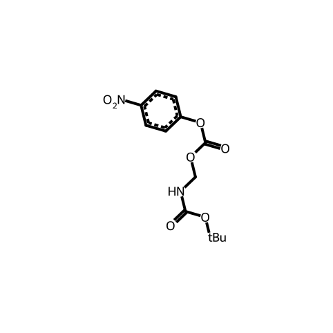 CC(C)(C)OC(=O)NCOC(=O)Oc1ccc([N+](=O)[O-])cc1